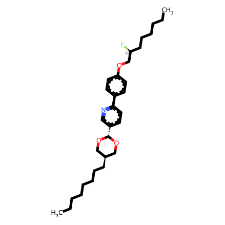 CCCCCCCC[C@H]1CO[C@H](c2ccc(-c3ccc(OC[C@@H](F)CCCCCC)cc3)nc2)OC1